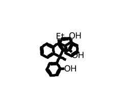 CCC(c1ccccc1O)c1ccccc1C(C)(c1ccccc1O)c1ccccc1O